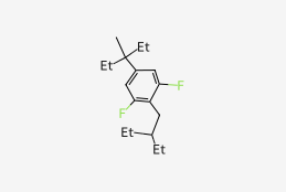 CCC(CC)Cc1c(F)cc(C(C)(CC)CC)cc1F